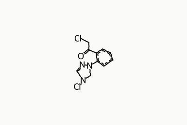 O=C(CCl)c1ccccc1N1CN(Cl)C=N1